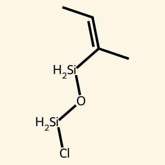 CC=C(C)[SiH2]O[SiH2]Cl